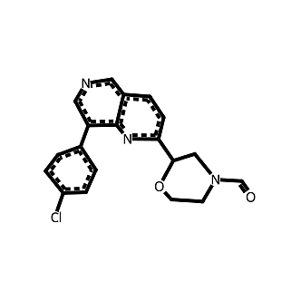 O=CN1CCOC(c2ccc3cncc(-c4ccc(Cl)cc4)c3n2)C1